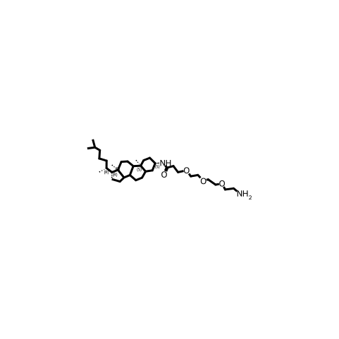 CC(C)CCC[C@@H](C)[C@H]1CCC2C3CCC4C[C@@H](NC(=O)CCOCCOCCOCCN)CC[C@]4(C)C3CC[C@@]21C